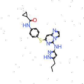 CCCc1cc(Nc2nc(Sc3ccc(NC(=O)C4CC4)cc3)cc3nccn23)n[nH]1